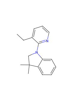 CCc1cccnc1N1CC(C)(C)c2ccccc21